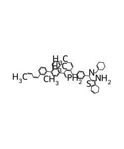 C/C=C\C=C/c1cccc(-c2ccc(C(=C/P)/C(C)=C(/C=C\CC)Cc3ccc(/C(=N/CC4=CCCCC4)c4sc5c(c4N)CCC=C5)cc3)c3ccccc23)c1C